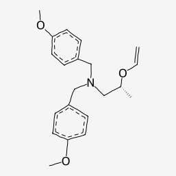 C=CO[C@H](C)CN(Cc1ccc(OC)cc1)Cc1ccc(OC)cc1